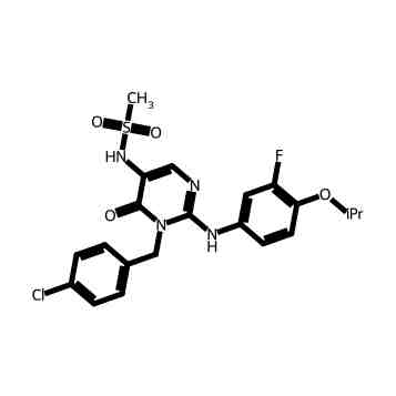 CC(C)Oc1ccc(Nc2ncc(NS(C)(=O)=O)c(=O)n2Cc2ccc(Cl)cc2)cc1F